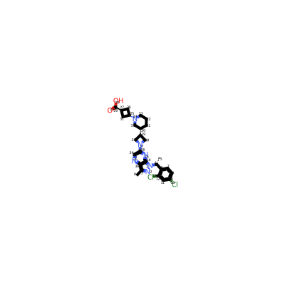 Cc1nn([C@H](C)c2ccc(Cl)cc2Cl)c2nc(N3CC([C@H]4CCCN([C@H]5C[C@H](C(=O)O)C5)C4)C3)cnc12